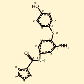 Nc1cc(NC(=O)c2cccs2)ccc1Sc1ccc(O)cc1